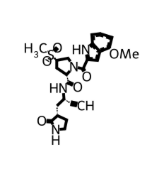 C#C[C@H](C[C@@H]1CCNC1=O)NC(=O)[C@@H]1C[C@@H](S(C)(=O)=O)CN1C(=O)c1cc2c(OC)cccc2[nH]1